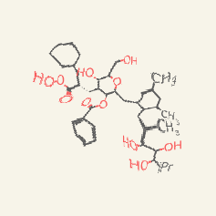 CC1CC(C)C(CC(C)C(O)C(O)C(O)C(C)C)C(CC2OC(CO)C(O)C(C[C@@H](CC3CCCCC3)C(=O)OO)C2OC(=O)c2ccccc2)C1